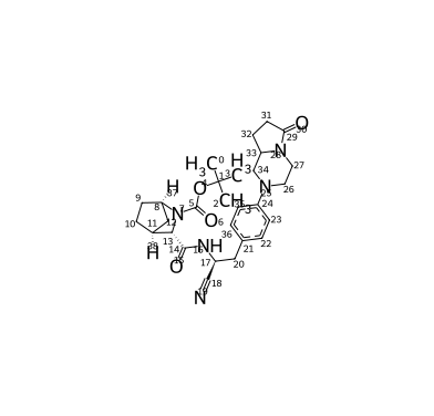 CC(C)(C)OC(=O)N1[C@@H]2CC[C@@H](C2)[C@H]1C(=O)N[C@H](C#N)Cc1ccc(N2CCN3C(=O)CCC3C2)cc1